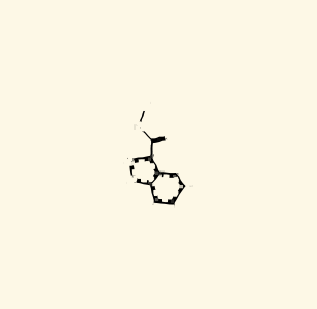 O=C(NI)c1nsc2ccccc12